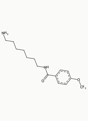 NCCCCCCCNC(=O)c1ccc(OC(F)(F)F)cc1